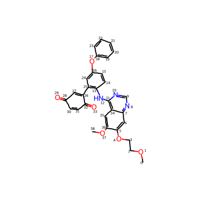 COCCOc1cc2ncnc(Nc3ccc(Oc4ccccc4)cc3C3=CC(=O)C=CC3=O)c2cc1OC